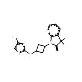 Cc1cnc(NC2CC(N3C(=O)C(C)(C)c4cccnc43)C2)s1